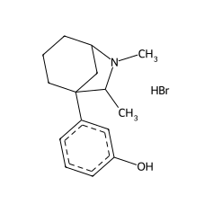 Br.CC1N(C)C2CCCC1(c1cccc(O)c1)C2